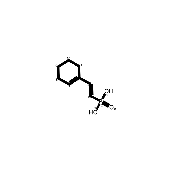 O=P(O)(O)C=CC1=CCCCC1